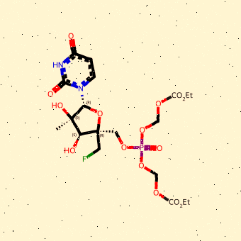 CCOC(=O)OCOP(=O)(OCOC(=O)OCC)OC[C@@]1(CF)O[C@@H](n2ccc(=O)[nH]c2=O)[C@](C)(O)[C@@H]1O